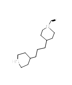 O=CN1CCC(CCCC2CCNCC2)CC1